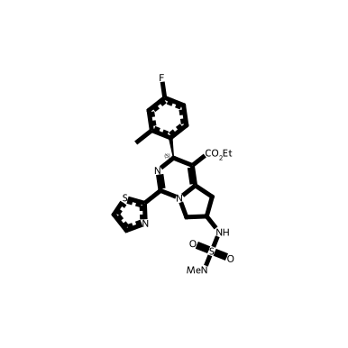 CCOC(=O)C1=C2CC(NS(=O)(=O)NC)CN2C(c2nccs2)=N[C@H]1c1ccc(F)cc1C